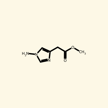 COC(=O)Cc1cn(N)cn1